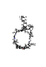 CO[C@H]1/C=C/O[C@@]2(C)Oc3c(C)c(O)c4c(=O)c(c5oc6cc(N7CCNCC7)cc(O)c6nc-5c4c3C2=O)NC(=O)/C(C)=C\C=C\[C@]2(C)O[C@H]([C@@H](C)[C@@H](O)[C@@H](C)[C@H](OC(C)=O)[C@@H]1C)[C@H]2C